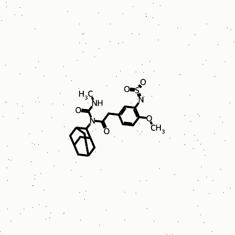 CNC(=O)N(C(=O)Cc1ccc(OC)c(N=S(=O)=O)c1)C1C2CC3CC(C2)CC1C3